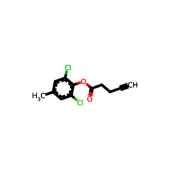 C#CCCC(=O)Oc1c(Cl)cc(C)cc1Cl